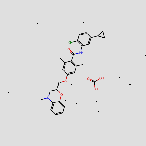 Cc1cc(OC[C@@H]2CN(C)c3ccccc3O2)cc(C)c1C(=O)Nc1cc(C2CC2)ccc1Cl.O=C(O)O